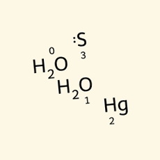 O.O.[Hg].[S]